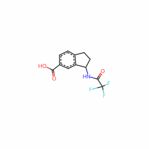 O=C(O)c1ccc2c(c1)C(NC(=O)C(F)(F)F)CC2